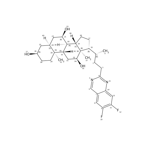 C[C@H](CCc1ncc2cc(F)c(F)cc2n1)[C@H]1CC[C@H]2[C@@H]3[C@H](O)C[C@@H]4C[C@H](O)CC[C@]4(C)[C@H]3C[C@H](O)[C@]12C